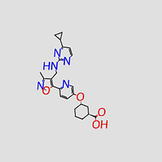 Cc1noc(-c2ccc(O[C@H]3CCC[C@H](C(=O)O)C3)cn2)c1CNc1nccc(C2CC2)n1